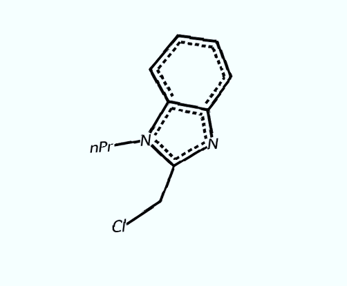 CCCn1c(CCl)nc2ccccc21